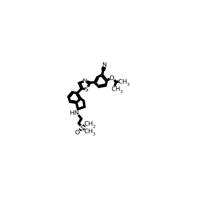 C=S(C)(=O)CCN[C@@H]1CCc2c(-c3cnc(-c4ccc(OC(C)C)c(C#N)c4)s3)cccc21